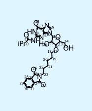 CC(C)C(=O)Nc1nc2c(ncn2C2OC(CO)C(OCCCCCCN3C(=O)c4ccccc4C3=O)C2O)c(=O)[nH]1